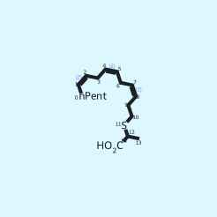 CCCCC/C=C\C/C=C\C/C=C\CCSC(C)C(=O)O